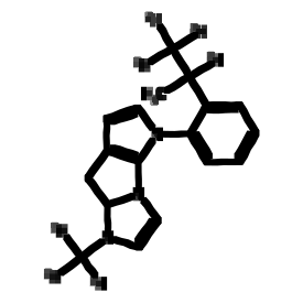 [2H]C([2H])([2H])N1C=CN2c3c(ccn3-c3ccccc3C([2H])(C)C([2H])([2H])[2H])CC21